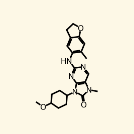 COC1CCC(n2c(=O)n(C)c3cnc(Nc4cc5c(cc4C)OCC5)nc32)CC1